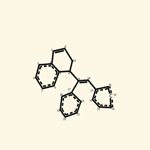 C1=Cc2ccccc2C(C(=Cc2ccccc2)c2ccccc2)C1